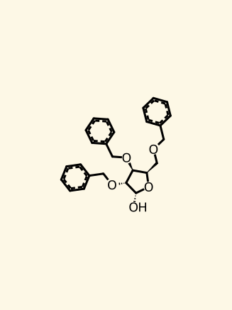 O[C@H]1O[C@H](COCc2ccccc2)[C@H](OCc2ccccc2)[C@H]1OCc1ccccc1